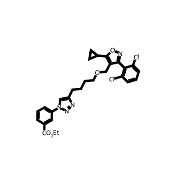 CCOC(=O)c1cccc(-n2cc(CCCCOCc3c(-c4c(Cl)cccc4Cl)noc3C3CC3)nn2)c1